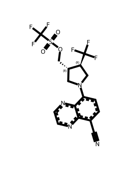 N#Cc1ccc(N2C[C@H](COS(=O)(=O)C(F)(F)F)[C@@H](C(F)(F)F)C2)c2nccnc12